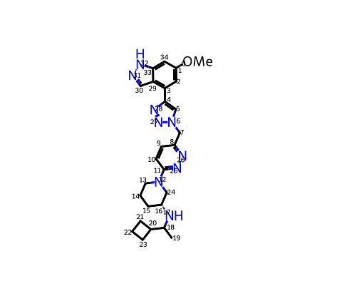 COc1cc(-c2cn(Cc3ccc(N4CCC[C@@H](NC(C)C5CCC5)C4)nn3)nn2)c2cn[nH]c2c1